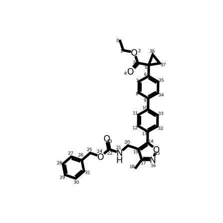 CCOC(=O)C1(c2ccc(-c3ccc(-c4onc(C)c4CNC(=O)OCc4ccccc4)cc3)cc2)CC1